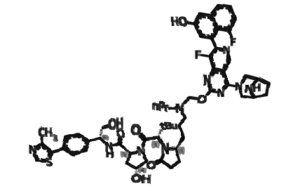 CCCN(CCC[C@H]1CCC(=O)N1[C@H](C(=O)N1C[C@H](O)C[C@H]1C(=O)N[C@@H](CO)c1ccc(-c2scnc2C)cc1)C(C)(C)C)COc1nc(N2CC3CCC(C2)N3)c2cnc(-c3cc(O)cc4cccc(F)c34)c(F)c2n1